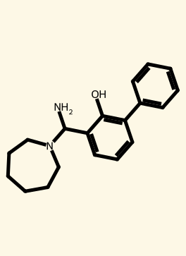 NC(c1cccc(-c2ccccc2)c1O)N1CCCCCC1